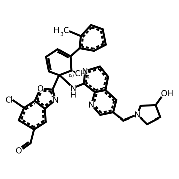 Cc1ccccc1C1=CC=CC(Nc2nccc3cc(CN4CCC(O)C4)cnc23)(c2nc3cc(C=O)cc(Cl)c3o2)[C@H]1C